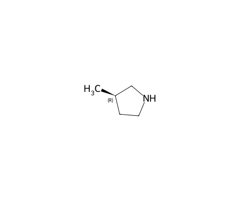 C[C@@H]1CCNC1